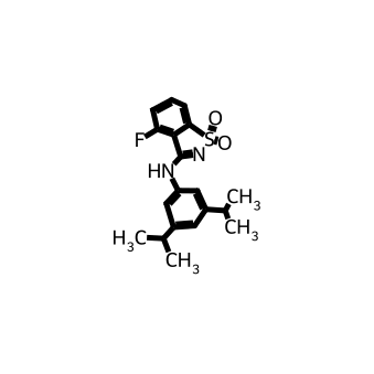 CC(C)c1cc(NC2=NS(=O)(=O)c3cccc(F)c32)cc(C(C)C)c1